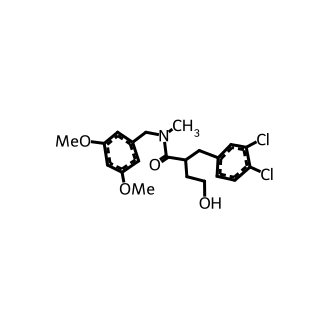 COc1cc(CN(C)C(=O)C(CCO)Cc2ccc(Cl)c(Cl)c2)cc(OC)c1